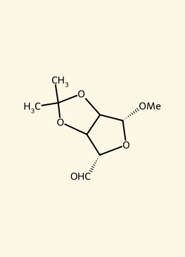 CO[C@@H]1O[C@H](C=O)C2OC(C)(C)OC21